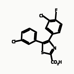 O=C(O)c1nc(-c2ccc(F)c(Cl)c2)c(-c2cccc(Cl)c2)s1